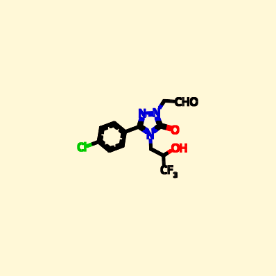 O=CCn1nc(-c2ccc(Cl)cc2)n(CC(O)C(F)(F)F)c1=O